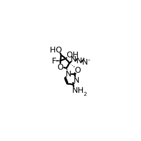 C[C@]1(N=[N+]=[N-])[C@H](n2ccc(N)nc2=O)O[C@]2(F)C(O)[C@]12O